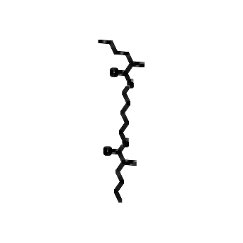 C=C(CCCC)C(=O)SCCCCCSC(=O)C(=C)CCCC